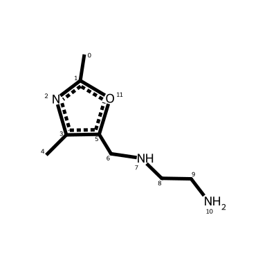 Cc1nc(C)c(CNCCN)o1